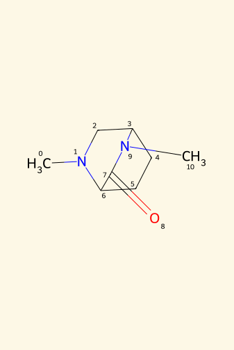 CN1CC2CCC1C(=O)N2C